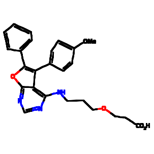 COc1ccc(-c2c(-c3ccccc3)oc3ncnc(NCCCOCCC(=O)O)c23)cc1